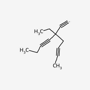 [C]#CC(C#CCC)(CC)CC#CC